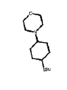 CC(C)(C)C1CCC(N2CCOCC2)CC1